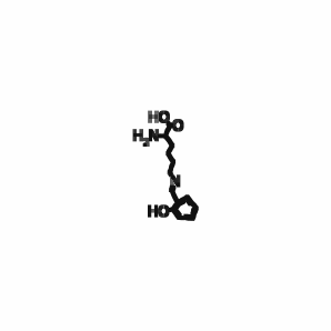 NC(CCCCN=Cc1ccccc1O)C(=O)O